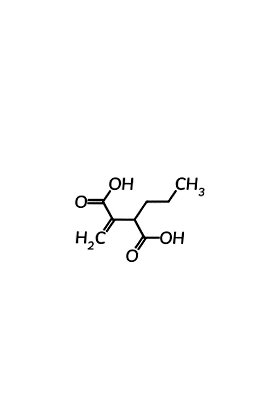 C=C(C(=O)O)C(CCC)C(=O)O